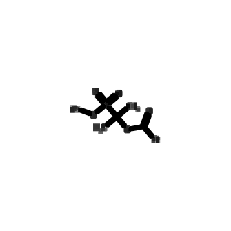 CCC(=O)OC(C)(C)S(=O)(=O)OC(C)C